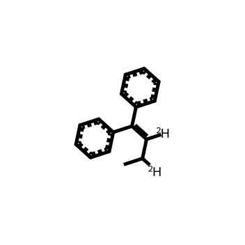 [2H]C(=C(c1ccccc1)c1ccccc1)C([2H])C